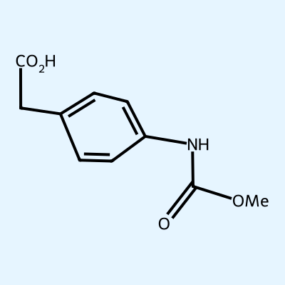 COC(=O)Nc1ccc(CC(=O)O)cc1